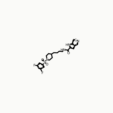 O=C(NCCCCC1CCN(S(=O)(=O)c2cc(F)cc(F)c2)CC1)c1cc2cnccc2[nH]1